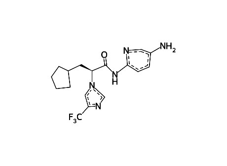 Nc1ccc(NC(=O)[C@H](CC2CCCC2)n2cnc(C(F)(F)F)c2)nc1